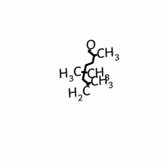 C=C(C)CC(C)(C)CCC(C)C=O